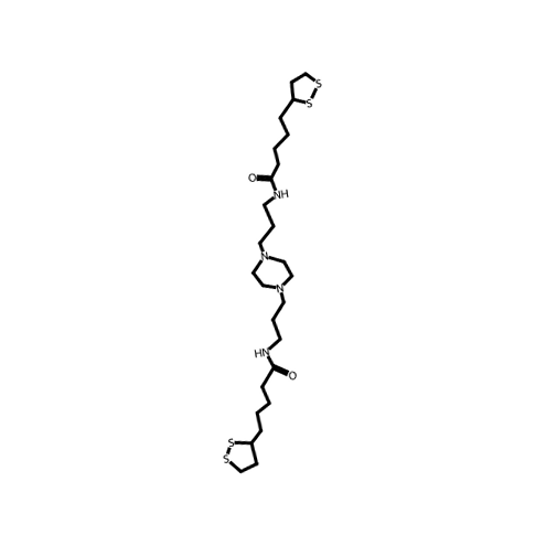 O=C(CCCCC1CCSS1)NCCCN1CCN(CCCNC(=O)CCCCC2CCSS2)CC1